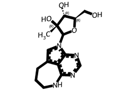 C[C@]1(O)C(n2cc3c4c(ncnc42)NCCC3)O[C@H](CO)[C@H]1O